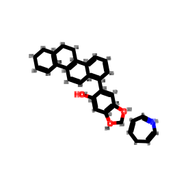 C1=CCC=CN=C1.Oc1cc2c(cc1-c1cccc3c4c(ccc13)C1=C(CCC=C1)CC4)OCO2